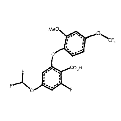 COc1cc(OC(F)(F)F)ccc1Oc1cc(OC(F)F)cc(F)c1C(=O)O